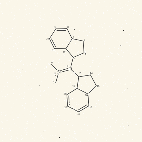 C[Si](C)=[Ti]([CH]1CCC2C=CC=CC21)[CH]1CCC2C=CC=CC21